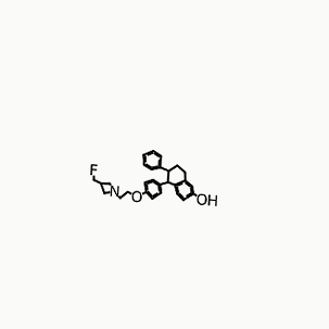 Oc1ccc2c(c1)CCC(c1ccccc1)C2c1ccc(OCCN2CC(CF)C2)cc1